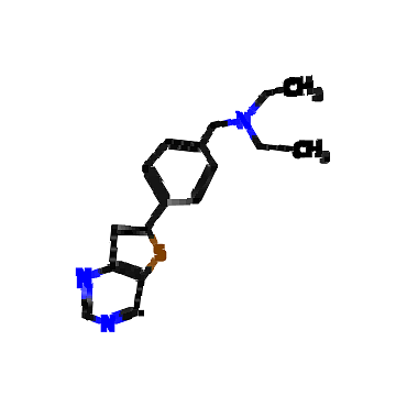 CCN(CC)Cc1ccc(-c2cc3ncn[c]c3s2)cc1